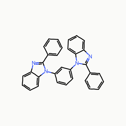 c1ccc(-c2nc3ccccc3n2-c2cccc(-n3c(-c4ccccc4)nc4ccccc43)c2)cc1